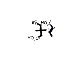 C/C=C/C(=O)O.CC(C)CC(C)(C)CC(=O)O